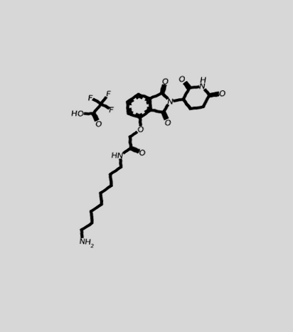 NCCCCCCCCNC(=O)COc1cccc2c1C(=O)N(C1CCC(=O)NC1=O)C2=O.O=C(O)C(F)(F)F